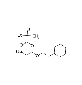 CCC(C)(C)C(=O)OC(CC(C)(C)C)OCCC1CCCCC1